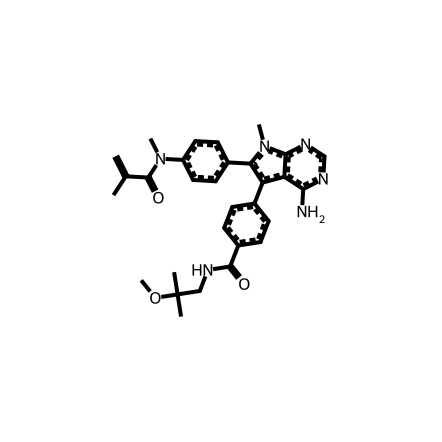 C=C(C)C(=O)N(C)c1ccc(-c2c(-c3ccc(C(=O)NCC(C)(C)OC)cc3)c3c(N)ncnc3n2C)cc1